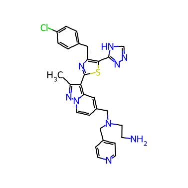 Cc1nn2ccc(CN(CCN)Cc3ccncc3)cc2c1-c1nc(Cc2ccc(Cl)cc2)c(-c2nnc[nH]2)s1